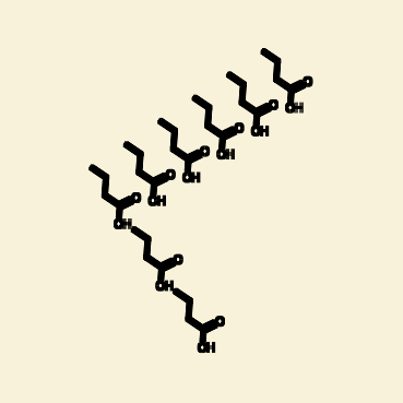 CCCC(=O)O.CCCC(=O)O.CCCC(=O)O.CCCC(=O)O.CCCC(=O)O.CCCC(=O)O.CCCC(=O)O.CCCC(=O)O